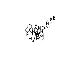 C#Cc1c(F)ccc2cccc(-c3nc4c5c(nc(OCC6(CN7CCC8(CC7)CC8(F)F)CC6)nc5c3F)N3C[C@H]5CC[C@H](C5)[C@@H]3[C@@H](C)C4)c12